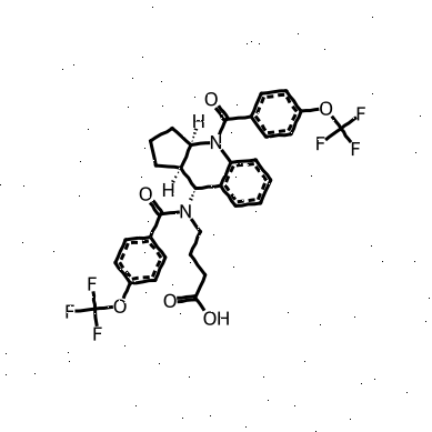 O=C(O)CCCN(C(=O)c1ccc(OC(F)(F)F)cc1)[C@H]1c2ccccc2N(C(=O)c2ccc(OC(F)(F)F)cc2)[C@@H]2CCC[C@@H]21